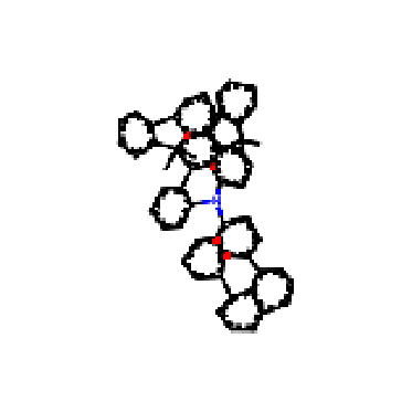 CC1(C)c2ccccc2-c2ccc(-c3ccccc3N(c3ccc(-c4cccc5cccc(-c6ccccc6)c45)cc3)c3cccc(-c4cccc5c4C(C)(C)c4ccccc4-5)c3)cc21